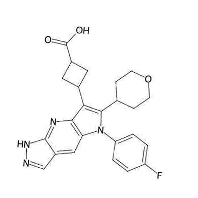 O=C(O)C1CC(c2c(C3CCOCC3)n(-c3ccc(F)cc3)c3cc4cn[nH]c4nc23)C1